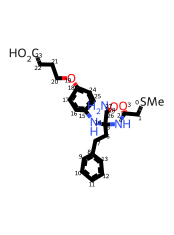 CSCC(=O)NC(CCc1ccccc1)(Nc1ccc(OCCCC(=O)O)cc1)C(N)=O